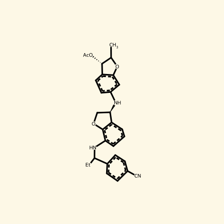 CCC(Nc1cccc2c1OC[C@H]2Nc1ccc2c(c1)OC(C)[C@H]2OC(C)=O)c1ccc(C#N)cc1